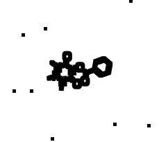 CN1C(=O)N(OC(=O)c2ccccc2)C(=O)N(C)N1C